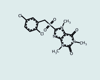 Cn1c(=O)c2c(nc(S(=O)(=O)Cc3cc(Cl)ccc3Cl)n2C)n(C)c1=O